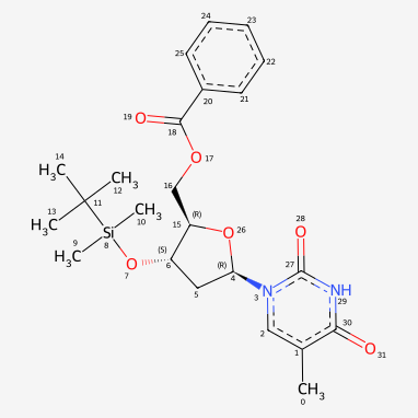 Cc1cn([C@H]2C[C@H](O[Si](C)(C)C(C)(C)C)[C@@H](COC(=O)c3ccccc3)O2)c(=O)[nH]c1=O